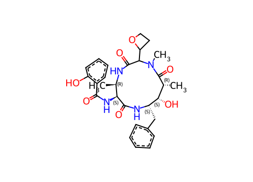 C[C@H]1NC(=O)C(C2CCO2)N(C)C(=O)[C@H](C)[C@H](O)[C@H](Cc2ccccc2)NC(=O)[C@H]1NC(=O)c1ccccc1O